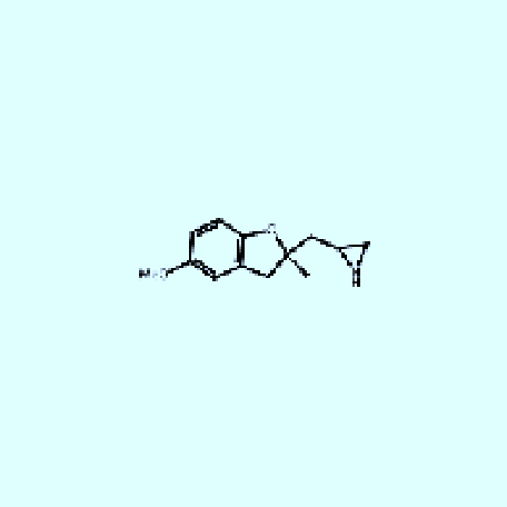 COc1ccc2c(c1)C[C@@](C)(CC1CN1)O2